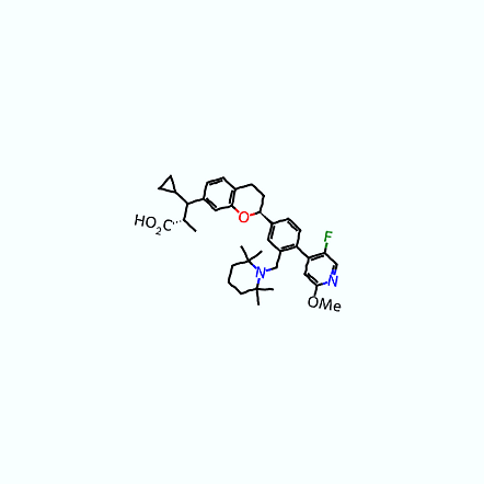 COc1cc(-c2ccc([C@@H]3CCc4ccc(C(C5CC5)[C@H](C)C(=O)O)cc4O3)cc2CN2C(C)(C)CCCC2(C)C)c(F)cn1